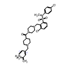 C=C(N)/C=C(\C=C/N)CN1CCC(C(=O)N2CCN(Cc3c(Cl)cccc3S(=O)(=O)N(C)c3ccc(Cl)cc3)CC2)CC1